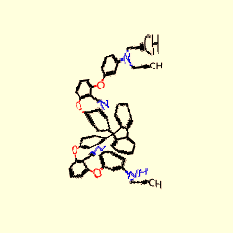 C#CCNc1cccc(Oc2cccc(Oc3ccc(C4(c5ccc(Oc6cccc(Oc7cccc(N(CC#C)CC#C)c7)c6C#N)cc5)c5ccccc5-c5ccccc54)cc3)c2C#N)c1